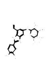 C=Cc1cc(OC2O[C@H](C(=O)O)[C@@H](O)[C@H](O)[C@H]2O)cc2nc(-c3ccc(O)c(F)c3)oc12